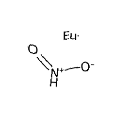 O=[NH+][O-].[Eu]